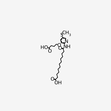 CSc1cnc(NC(=O)CCCCCCCCCCCC(=O)O)c(OCCCC(=O)O)c1